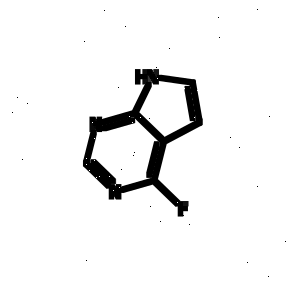 Fc1ncnc2[nH]ccc12